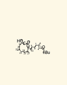 CCCCC1OC1CC(C)/C=C/C=C(\C)[C@H]1OC(=O)CC(O)CCC(C)C/C=C/C1C